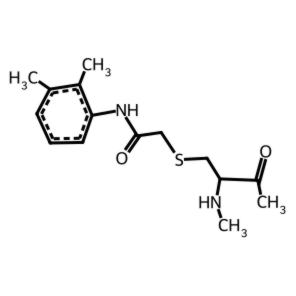 CNC(CSCC(=O)Nc1cccc(C)c1C)C(C)=O